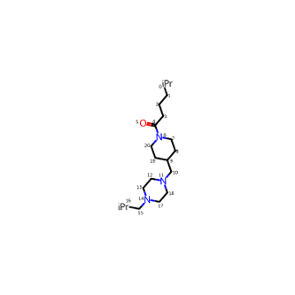 CC(C)CCCC(=O)N1CCC(CN2CCN(CC(C)C)CC2)CC1